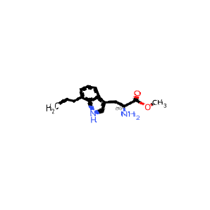 C=CCc1cccc2c(C[C@H](N)C(=O)OC)c[nH]c12